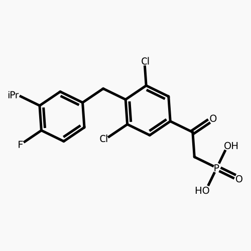 CC(C)c1cc(Cc2c(Cl)cc(C(=O)CP(=O)(O)O)cc2Cl)ccc1F